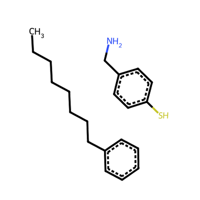 CCCCCCCCc1ccccc1.NCc1ccc(S)cc1